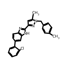 Cc1ccc(Cn2nc(-c3nc4ccc(-c5ccccc5Cl)cc4[nH]3)cc2C)cc1